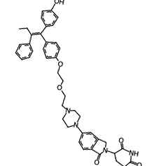 CCC(=C(c1ccc(O)cc1)c1ccc(OCCOCCN2CCN(c3ccc4c(c3)CN(C3CCC(=O)NC3=O)C4=O)CC2)cc1)c1ccccc1